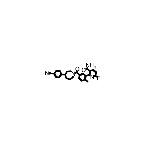 Cc1ccc(C(=O)N2CCCC(c3ccc(C#N)cc3)CC2)cc1-c1nc(F)ccc1C(N)=O